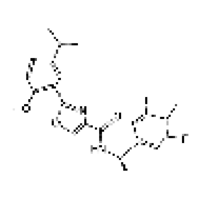 COc1ccc(C(C)C)cc1-c1nc(C(=O)N[C@H](C)c2cc(F)c(C)c(F)c2)co1